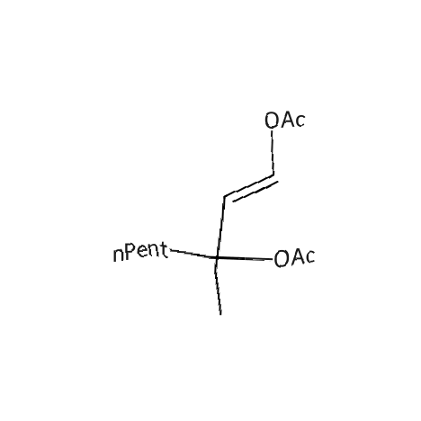 CCCCCC(C)(C=COC(C)=O)OC(C)=O